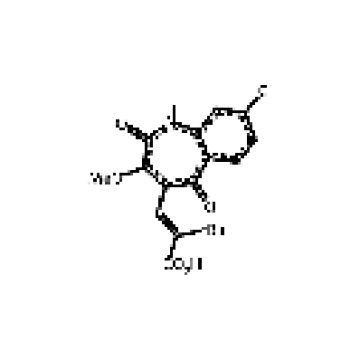 COc1c(/C=C(/C(=O)O)C(C)(C)C)c(=O)c2ccc(Cl)cc2[nH]c1=O